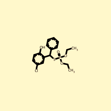 CCOP(=O)(OCC)SC(c1ccccc1)c1cc(Cl)ccc1O